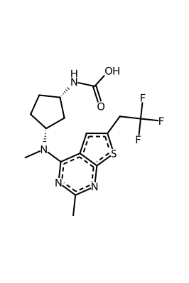 Cc1nc(N(C)[C@@H]2CC[C@H](NC(=O)O)C2)c2cc(CC(F)(F)F)sc2n1